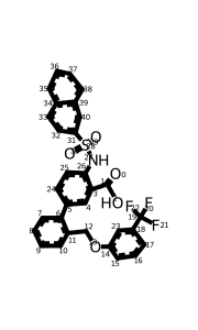 O=C(O)c1cc(-c2ccccc2COc2cccc(C(F)(F)F)c2)ccc1NS(=O)(=O)c1ccc2ccccc2c1